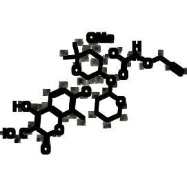 C#CCONC(=O)O[C@@H]1[C@@H](OC2CCCCO2)[C@H](Oc2ccc3c(O)c(C(=O)O)c(=O)oc3c2C)OC(C)(C)[C@@H]1OC